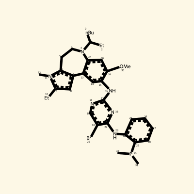 CCCCC(CC)N1CCc2c(cc(CC)n2C)-c2cc(Nc3ncc(Br)c(Nc4ccccc4P(C)C)n3)c(OC)cc21